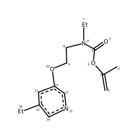 C=C(C)OC(=O)N(CC)CCOc1cncc(CC)c1